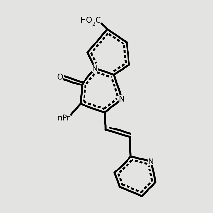 CCCc1c(C=Cc2ccccn2)nc2ccc(C(=O)O)cn2c1=O